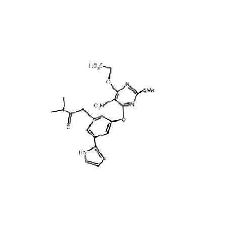 CCOC(=O)COc1nc(SC)nc(Oc2cc(CC(=O)N(C)C)cc(-c3ncc[nH]3)c2)c1[N+](=O)[O-]